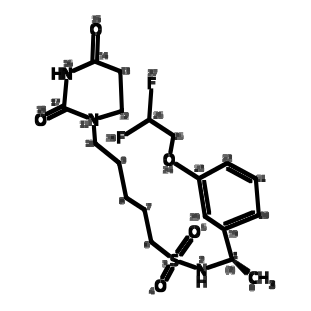 C[C@@H](NS(=O)(=O)CCCCCN1CCC(=O)NC1=O)c1cccc(OCC(F)F)c1